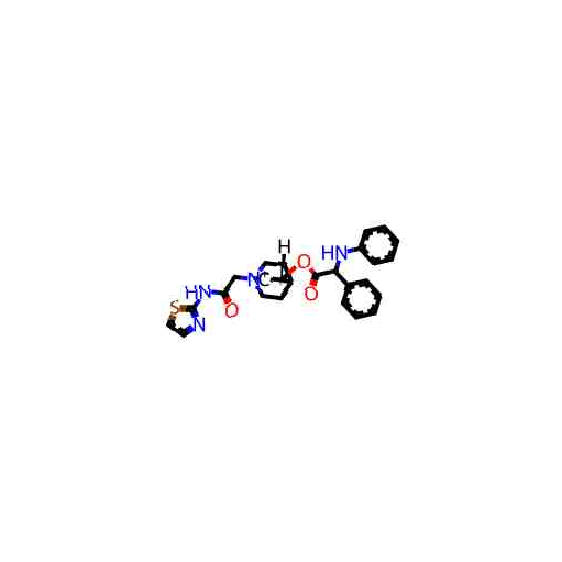 O=C(C[N+]12CCC(CC1)[C@@H](OC(=O)C(Nc1ccccc1)c1ccccc1)C2)Nc1nccs1